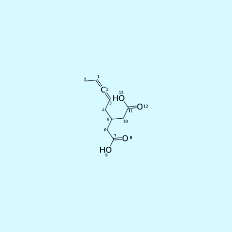 CC=C=CCC(CC(=O)O)CC(=O)O